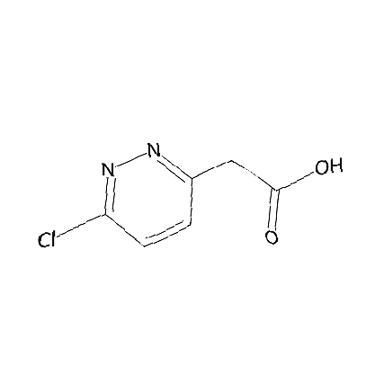 O=C(O)Cc1ccc(Cl)nn1